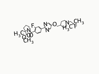 COC(=O)[C@]1(C)CCCN1C(=O)c1ccc(-c2ncc(OCC3CCN(CC(C)(C)F)CC3)cn2)cc1F